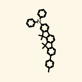 Cc1ccc(-c2ccc3c(c2)C(C)(C)c2c-3ccc3c2C(C)(C)c2cc(N(c4ccccc4)c4ccccc4)ccc2-3)cc1